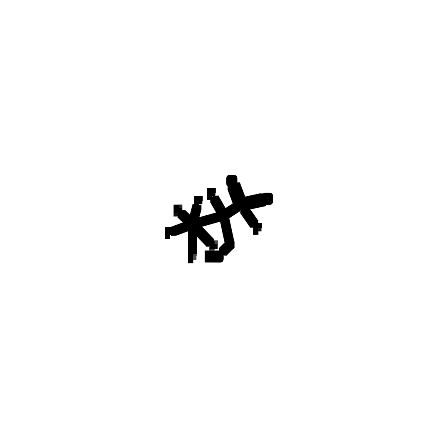 O=S(=O)(F)C(F)(CO)S(F)(F)(F)(F)F